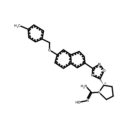 Cc1ccc(COc2ccc3cc(-c4noc([C@@H]5CCCN5/C(N)=N/O)n4)ccc3c2)cc1